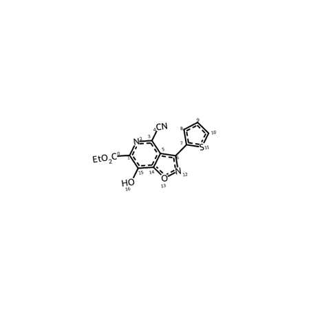 CCOC(=O)c1nc(C#N)c2c(-c3cccs3)noc2c1O